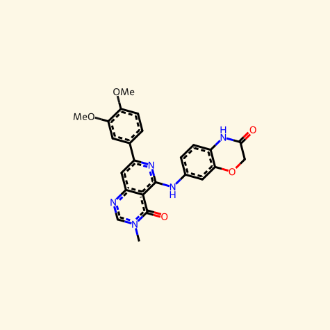 COc1ccc(-c2cc3ncn(C)c(=O)c3c(Nc3ccc4c(c3)OCC(=O)N4)n2)cc1OC